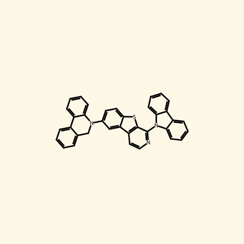 c1ccc2c(c1)CN(c1ccc3sc4c(-n5c6ccccc6c6ccccc65)nccc4c3c1)c1ccccc1-2